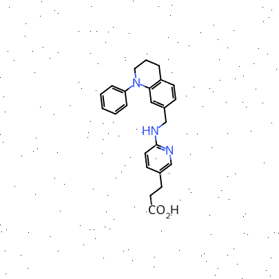 O=C(O)CCc1ccc(NCc2ccc3c(c2)N(c2ccccc2)CCC3)nc1